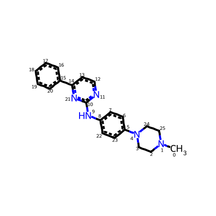 CN1CCN(c2ccc(Nc3nccc(-c4ccccc4)n3)cc2)CC1